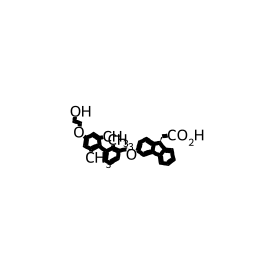 Cc1cc(OCCO)cc(C)c1-c1cccc(COc2ccc3c(c2)-c2ccccc2[C@H]3CC(=O)O)c1C